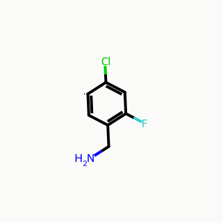 NCc1c[c]c(Cl)cc1F